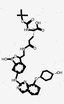 CC(C)(C)OC(=O)N[C@@H](CCC(=O)NCC1OB(O)c2cc(Nc3ncc4cccc(O[C@H]5CC[C@@H](O)CC5)c4n3)ccc21)C(=O)O